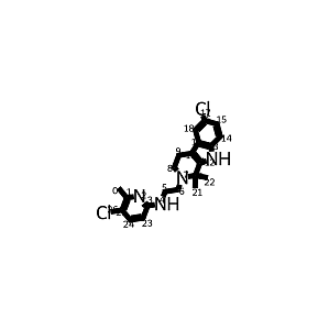 Cc1nc(NCCN2CCc3c([nH]c4ccc(Cl)cc34)C2(C)C)ccc1Cl